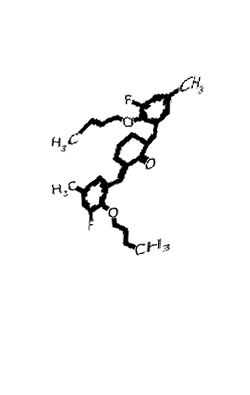 CCCCOc1c(F)cc(C)cc1/C=C1\CCC/C(=C\c2cc(C)cc(F)c2OCCCC)C1=O